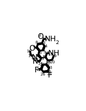 NC(=O)c1ccc2c(c1)OCCn1ncc([C@H]3CNCC[C@@H]3c3cc(F)cc(F)c3)c1-2